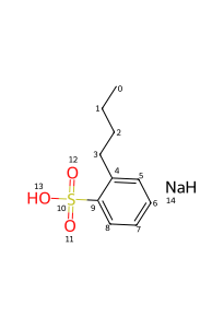 CCCCc1ccccc1S(=O)(=O)O.[NaH]